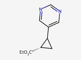 CCOC(=O)[C@H]1CC1c1cncnc1